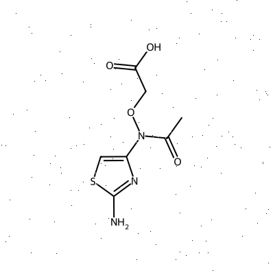 CC(=O)N(OCC(=O)O)c1csc(N)n1